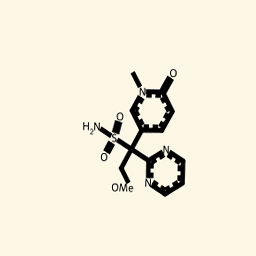 COCC(c1ccc(=O)n(C)c1)(c1ncccn1)S(N)(=O)=O